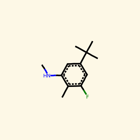 CNc1cc(C(C)(C)C)cc(F)c1C